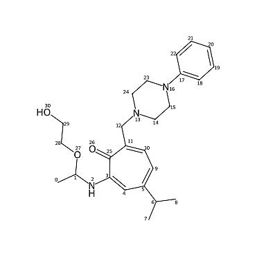 CC(Nc1cc(C(C)C)ccc(CN2CCN(c3ccccc3)CC2)c1=O)OCCO